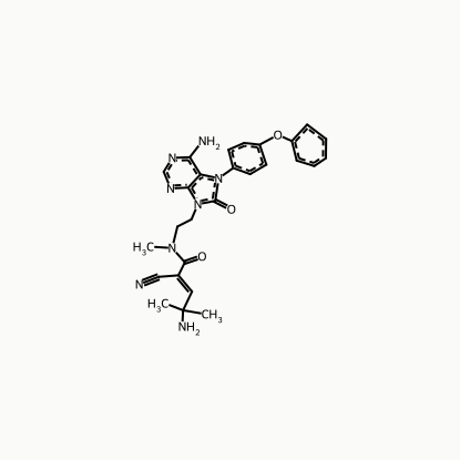 CN(CCn1c(=O)n(-c2ccc(Oc3ccccc3)cc2)c2c(N)ncnc21)C(=O)/C(C#N)=C/C(C)(C)N